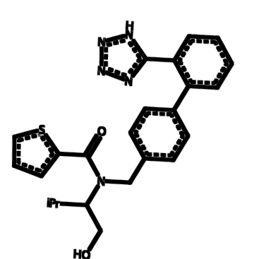 CC(C)C(CO)N(Cc1ccc(-c2ccccc2-c2nnn[nH]2)cc1)C(=O)c1cccs1